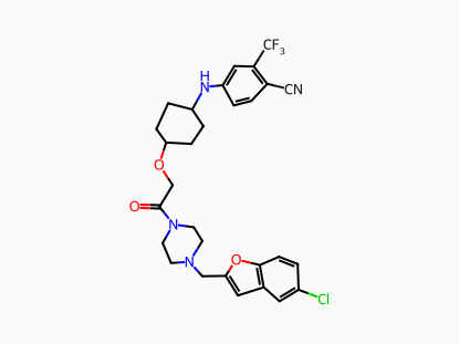 N#Cc1ccc(NC2CCC(OCC(=O)N3CCN(Cc4cc5cc(Cl)ccc5o4)CC3)CC2)cc1C(F)(F)F